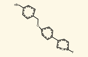 CCCCc1ccc(COc2ccc(-c3ccc(F)cc3)cc2)cc1